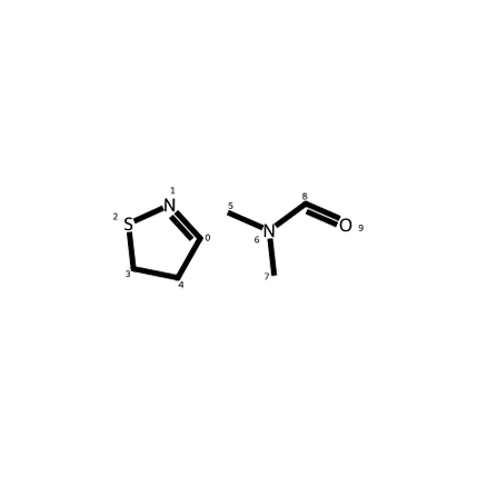 C1=NSCC1.CN(C)C=O